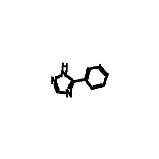 [c]1cccc(-c2ncn[nH]2)c1